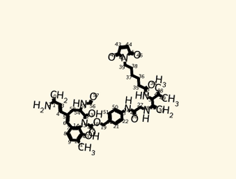 C=C(N)/C=C/C1=C/c2ccc(C)c(O)c2N(C(=O)OCc2ccc(NC(=O)CNC(=C)C(NC(=O)CCCCCN3C(=O)C=CC3=O)C(C)C)cc2)C(O)C(NC=O)C1